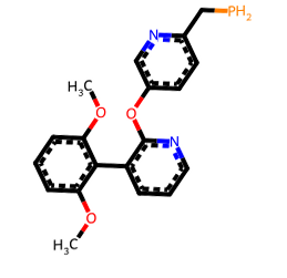 COc1cccc(OC)c1-c1cccnc1Oc1ccc(CP)nc1